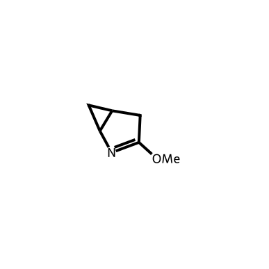 COC1=NC2CC2C1